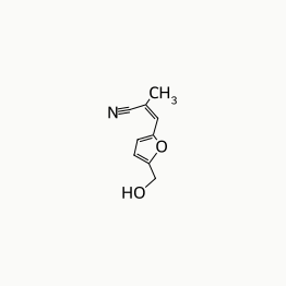 C/C(C#N)=C/c1ccc(CO)o1